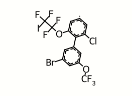 FC(F)(F)Oc1cc(Br)cc(-c2c(Cl)c[c]cc2OC(F)(F)C(F)(F)I)c1